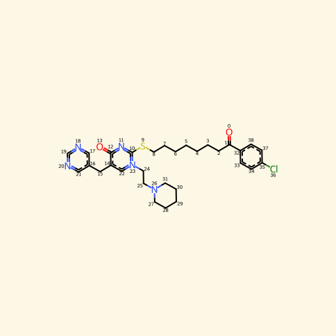 O=C(CCCCCCCSc1nc(=O)c(Cc2cncnc2)cn1CCN1CCCCC1)c1ccc(Cl)cc1